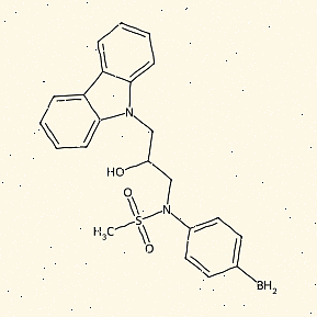 Bc1ccc(N(CC(O)Cn2c3ccccc3c3ccccc32)S(C)(=O)=O)cc1